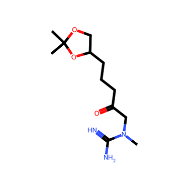 CN(CC(=O)CCCC1COC(C)(C)O1)C(=N)N